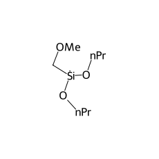 CCCO[Si](COC)OCCC